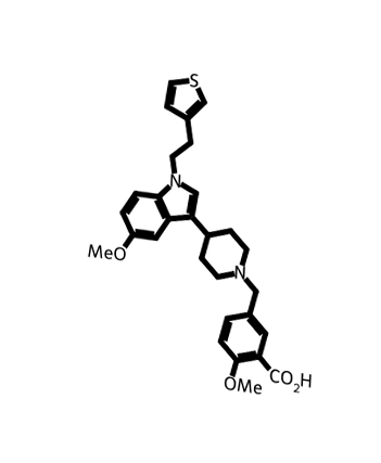 COc1ccc2c(c1)c(C1CCN(Cc3ccc(OC)c(C(=O)O)c3)CC1)cn2CCc1ccsc1